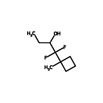 CCC(O)C(F)(F)C1(C)CCC1